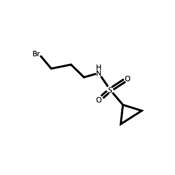 O=S(=O)(NCCCBr)C1CC1